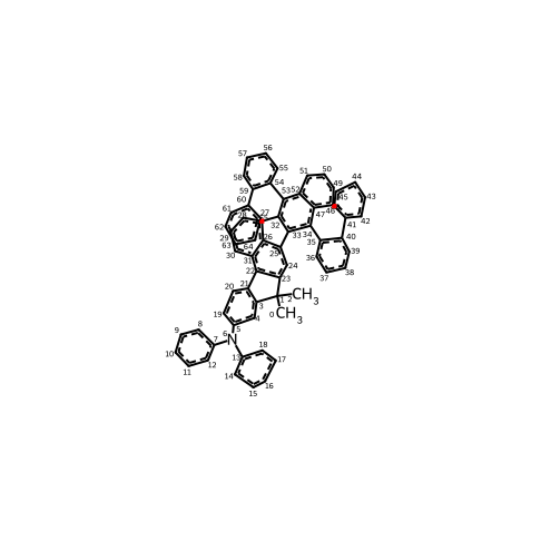 CC1(C)c2cc(N(c3ccccc3)c3ccccc3)ccc2-c2c1cc1c3c(cccc23)-c2c-1c(-c1ccccc1-c1ccccc1)c1ccccc1c2-c1ccccc1-c1ccccc1